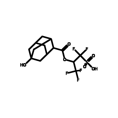 O=C(OC(C(F)(F)F)C(F)(F)S(=O)(=O)O)C1C2CC3CC1CC(O)(C3)C2